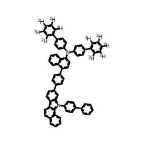 [2H]c1c([2H])c([2H])c(-c2ccc(N(c3ccc(-c4c([2H])c([2H])c([2H])c([2H])c4[2H])cc3)c3ccc(-c4ccc(-c5ccc6c7ccc8ccccc8c7n(-c7ccc(-c8ccccc8)cc7)c6c5)cc4)c4ccccc34)cc2)c([2H])c1[2H]